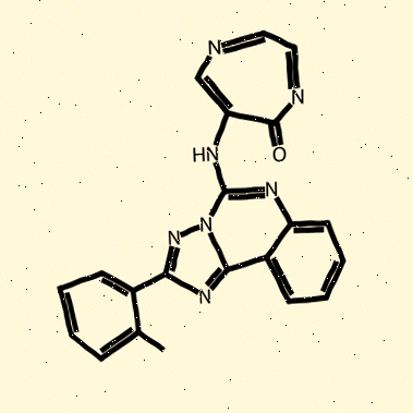 Cc1ccccc1-c1nc2c3ccccc3nc(Nc3cnccnc3=O)n2n1